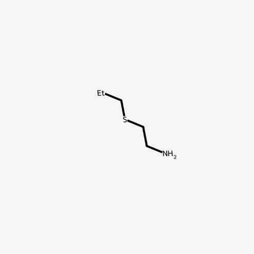 [CH2]CCSCCN